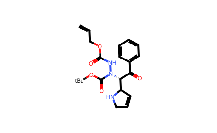 C=CCOC(=O)NN(C(=O)OC(C)(C)C)[C@H](C(=O)c1ccccc1)C1C=CCN1